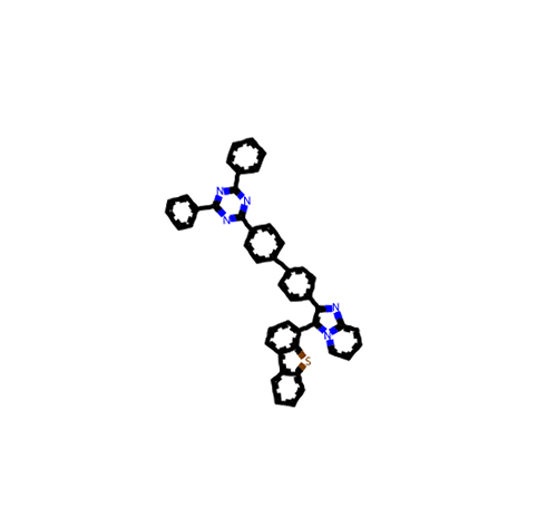 c1ccc(-c2nc(-c3ccccc3)nc(-c3ccc(-c4ccc(-c5nc6ccccn6c5-c5cccc6c5sc5ccccc56)cc4)cc3)n2)cc1